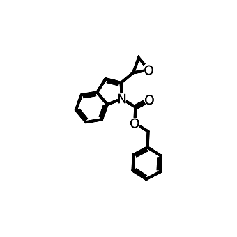 O=C(OCc1ccccc1)n1c(C2CO2)cc2ccccc21